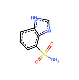 NS(=O)(=O)c1cccc2[nH]cnc12